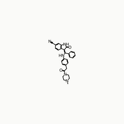 CN1CCN(C(=O)Cc2ccc(NC(=C3C(=O)Nc4cc(C#N)ccc43)c3ccccc3)cc2)CC1